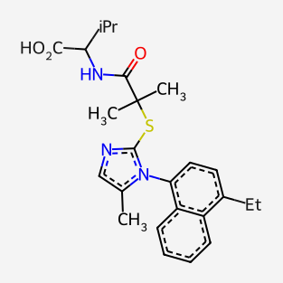 CCc1ccc(-n2c(C)cnc2SC(C)(C)C(=O)NC(C(=O)O)C(C)C)c2ccccc12